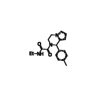 CCNC(=O)C(=O)N1CCn2cccc2C1c1ccc(C)cc1